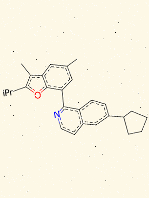 Cc1cc(-c2nccc3cc(C4CCCC4)ccc23)c2oc(C(C)C)c(C)c2c1